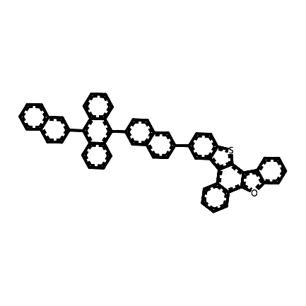 c1ccc2cc(-c3c4ccccc4c(-c4ccc5cc(-c6ccc7sc8c(c7c6)c6ccccc6c6oc7ccccc7c68)ccc5c4)c4ccccc34)ccc2c1